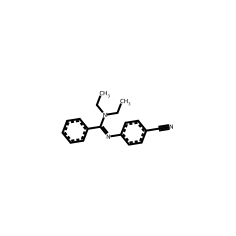 CCN(CC)C(=Nc1ccc(C#N)cc1)c1ccccc1